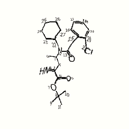 CC(CC(=N)C(=O)OC(C)(C)C)N(C(=O)c1ccccc1Cl)C1CCCCC1